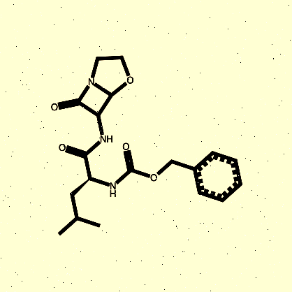 CC(C)C[C@H](NC(=O)OCc1ccccc1)C(=O)NC1C(=O)N2CCOC12